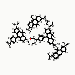 CCC1=C2C=CC(=[N+](C)C)C=C2C(C)(C)c2cc(N(C)C)ccc21.CCN(CC)c1ccc(C2=C3C=CC(=[N+](C)C)C=C3C(C)(C)c3cc(N(CC)CC)ccc32)cc1.CN(C)c1ccc(C2=C3C=CC(=[N+](C)C)C=C3C(C)(C)c3cc(N(C)C)ccc32)cc1.CN(C)c1ccc2c(c1)C(C)(C)C1=CC(=[N+](C)C)C=CC1=C2